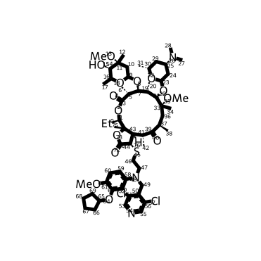 CC[C@H]1OC(=O)[C@H](C)[C@@H](OC2C[C@@](C)(OC)[C@@H](O)C(C)O2)[C@H](C)[C@@H](OC2C[C@@H](N(C)C)C[C@@H](C)O2)[C@](C)(OC)C[C@@H](C)C(=O)[C@H](C)[C@H]2[C@H](SCCN(Cc3c(Cl)cncc3Cl)c3ccc(OC)c(OC4CCCC4)c3)C(=O)O[C@@]21C